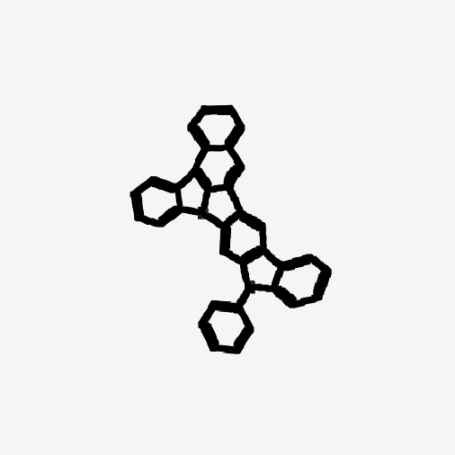 c1ccc(-n2c3ccccc3c3cc4c5cc6ccccc6c6c7ccccc7n(c4cc32)c56)cc1